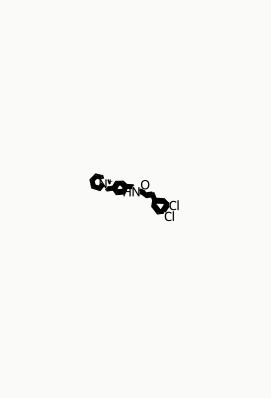 C[N+]1(Cc2ccc(CNC(=O)/C=C/c3ccc(Cl)c(Cl)c3)cc2)CCCCC1